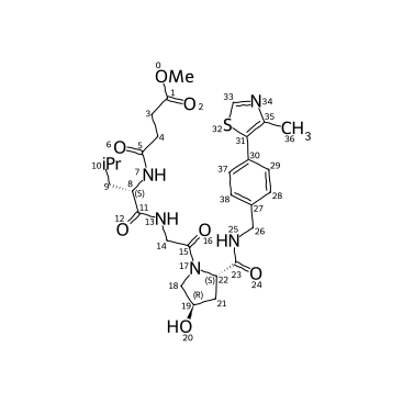 COC(=O)CCC(=O)N[C@@H](CC(C)C)C(=O)NCC(=O)N1C[C@H](O)C[C@H]1C(=O)NCc1ccc(-c2scnc2C)cc1